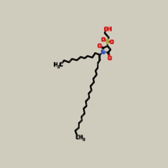 CCCCCCCCCCCCCCCCCCCCC=C(CCCCCCCCCC)N1C(=O)CC(S(=O)(=O)CCO)C1=O